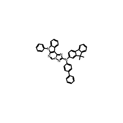 CC1(C)c2ccccc2-c2ccc(N(c3ccc(-c4ccccc4)cc3)c3nc4c5c6ccccc6n(-c6ccccc6)c5ncn4n3)cc21